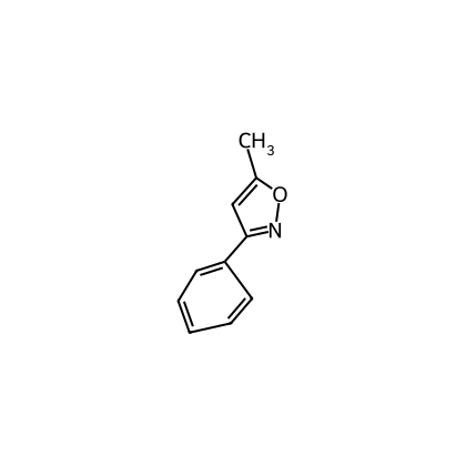 Cc1cc(-c2ccccc2)no1